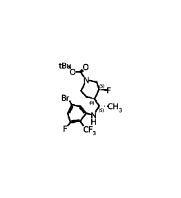 C[C@H](Nc1cc(Br)cc(F)c1C(F)(F)F)[C@H]1CCN(C(=O)OC(C)(C)C)C[C@H]1F